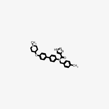 Cc1ccc(CN(C(=O)c2c[nH]nn2)c2ccc(-c3ccc(OC4CCN(C)CC4)cc3)cc2)cc1